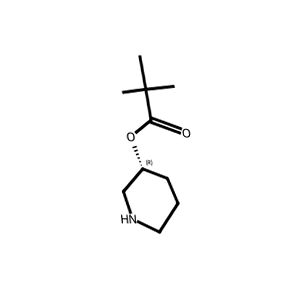 CC(C)(C)C(=O)O[C@@H]1CCCNC1